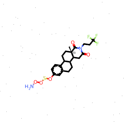 C[C@]12CCC3c4ccc(OSOON)cc4CCC3C1CC(=O)N(CCC(F)(F)F)C2=O